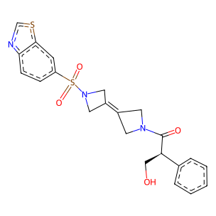 O=C([C@H](CO)c1ccccc1)N1CC(=C2CN(S(=O)(=O)c3ccc4ncsc4c3)C2)C1